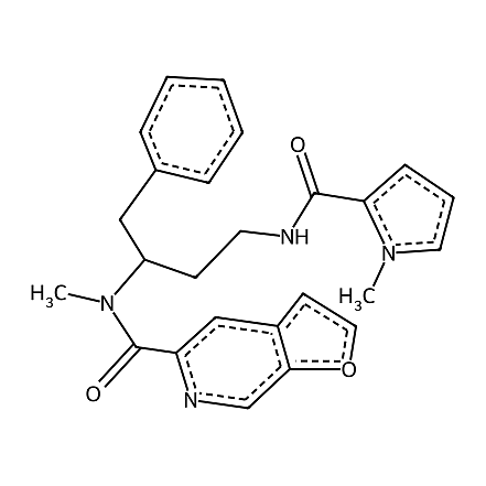 CN(C(=O)c1cc2ccoc2cn1)C(CCNC(=O)c1cccn1C)Cc1ccccc1